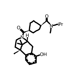 CC(C)N(C)C(=O)[C@H]1CC[C@@H](C(=O)N2CC[C@@]3(C)c4cccc(O)c4C[C@@H]2C3(C)C)CC1